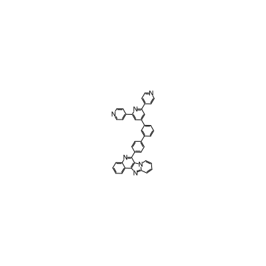 c1cc(-c2ccc(-c3nc4ccccc4c4nc5ccccn5c34)cc2)cc(-c2cc(-c3ccncc3)nc(-c3ccncc3)c2)c1